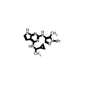 Cc1c(Nc2nc(NC(C)C3CC3)c3cc[nH]c3n2)cnn1C(C)C